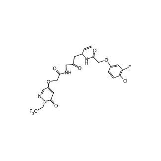 C=CC(CC(=O)CNC(=O)COc1cnn(CC(F)(F)F)c(=O)c1)NC(=O)COc1ccc(Cl)c(F)c1